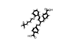 O=C(O)c1ccc(CCC(/C=C/c2ccccc2OCCCCC(F)(F)F)Cc2ccc(C(=O)O)cc2)cc1